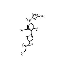 COCC(=O)Nc1ccc(-c2c(Cl)cc(Nc3n[nH]c(N)n3)cc2Cl)cc1